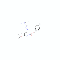 CCOC(=O)CNC[C@@H]1C[C@@H](O[Si](C)(C)C(C)(C)C)CN1C(=O)OCc1ccc([N+](=O)[O-])cc1.NC=O